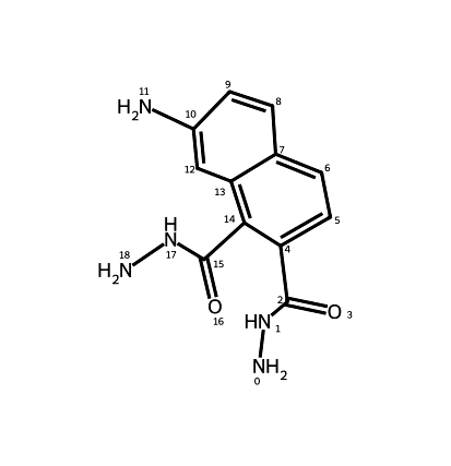 NNC(=O)c1ccc2ccc(N)cc2c1C(=O)NN